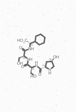 O=C(N[C@@H](CO)C(=O)N[C@@H](CO)C(=O)N[C@H](C(=O)O)C1CCCCC1)[C@@H]1C[C@@H](O)CN1